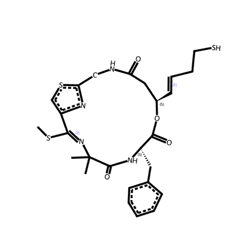 CS/C1=N\C(C)(C)C(=O)N[C@@H](Cc2ccccc2)C(=O)O[C@H](/C=C/CCS)CC(=O)NCc2nc1cs2